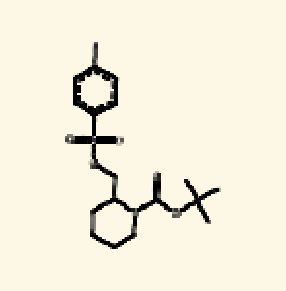 Cc1ccc(S(=O)(=O)OCC2CCCCN2C(=O)OC(C)(C)C)cc1